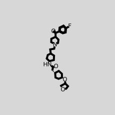 O=C(C[C@H]1CC[C@H](OC2CCOC2)CC1)NC1CCC(CCN2CCC(C(=O)c3ccc(F)cc3)CC2)CC1